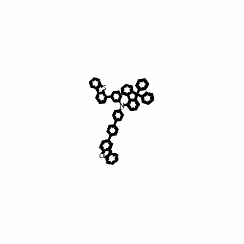 c1ccc(C2(c3ccccc3)c3ccccc3-c3c(N(c4ccc(-c5ccc(-c6ccc7oc8ccccc8c7c6)cc5)cc4)c4cccc(-c5cccc6c5sc5ccccc56)c4)cccc32)cc1